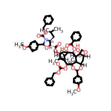 COc1ccc(C2O[C@H]3C[C@H]4OC[C@@]4(O)[C@H]4[C@H](OC(=O)c5ccccc5)[C@]5(O)C[C@H](OC(=O)[C@@H]6OC(c7ccc(OC)cc7)N(C(=O)OCc7ccccc7)[C@H]6CC(C)C)C(C)=C([C@H](OC(=O)OCc6ccccc6)[C@H](O2)[C@]34C)C5(C)C)cc1